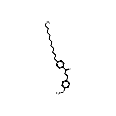 CCCCCCCCCCCCc1ccc(C(=O)/C=C/c2ccc(SC)cc2)cc1